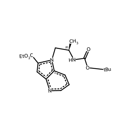 CCOC(=O)c1cc2ncccc2n1C[C@@H](C)NC(=O)OC(C)(C)C